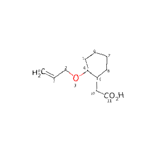 C=CCOC1CCCCC1CC(=O)O